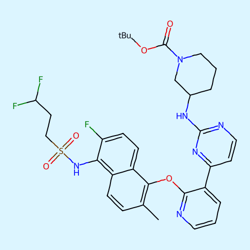 Cc1ccc2c(NS(=O)(=O)CCC(F)F)c(F)ccc2c1Oc1ncccc1-c1ccnc(NC2CCCN(C(=O)OC(C)(C)C)C2)n1